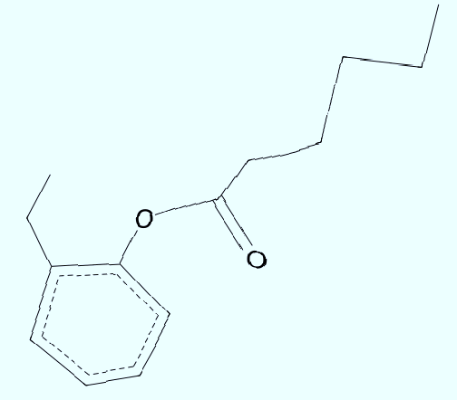 CCCCCC(=O)Oc1ccccc1CC